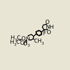 CC1CN(C(=O)OC(C)(C)C)CCC1c1ccc([C@]2(F)CCC(=O)NC2=O)cc1